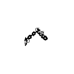 CCOC(=O)C1(c2ccc(-c3ccc(-c4onc(C)c4CC(O)CN(Cc4ccccc4)C(C)=O)cc3)cc2)CC1